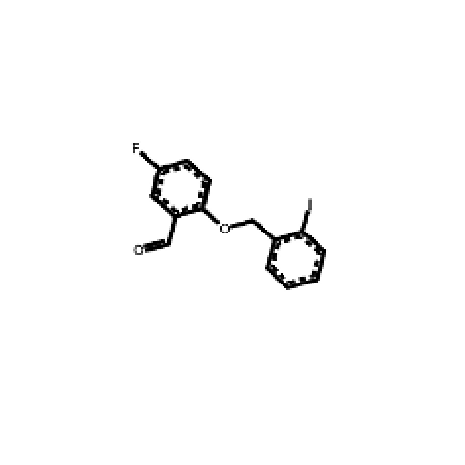 O=Cc1cc(F)ccc1OCc1ccccc1I